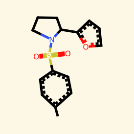 Cc1ccc(S(=O)(=O)N2CCCC2c2ccco2)cc1